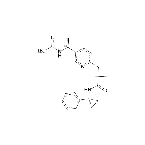 C[C@H](NC(=O)C(C)(C)C)c1ccc(CC(C)(C)C(=O)NC2(c3ccccc3)CC2)nc1